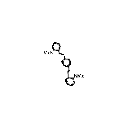 CNc1ccccc1C=Cc1ccc(C=Cc2ccccc2NC)cc1